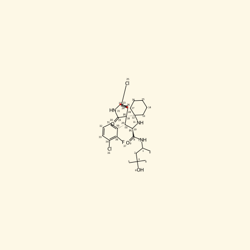 CC(CC(C)(C)O)NC(=O)[C@@H]1NC2(CCCCC2)[C@@]2(C(=O)Nc3cc(Cl)ccc32)[C@H]1c1cccc(Cl)c1F